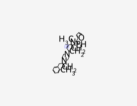 C=C(/C=C\C(=C)N(C)C(=P)c1ccco1)N1CCN(C(=C)Cc2ccccc2C)CC1